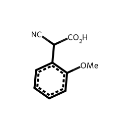 COc1ccccc1C(C#N)C(=O)O